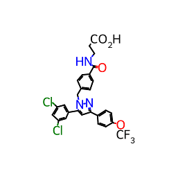 O=C(O)CCNC(=O)c1ccc(Cn2nc(-c3ccc(OC(F)(F)F)cc3)cc2-c2cc(Cl)cc(Cl)c2)cc1